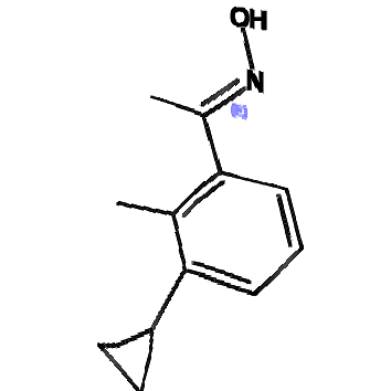 C/C(=N\O)c1cccc(C2CC2)c1C